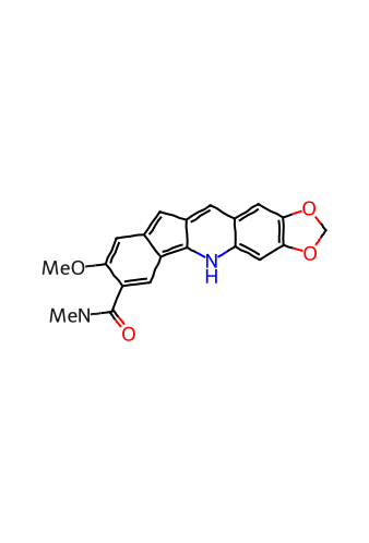 CNC(=O)c1cc2c3[nH]c4cc5c(cc4cc-3cc2cc1OC)OCO5